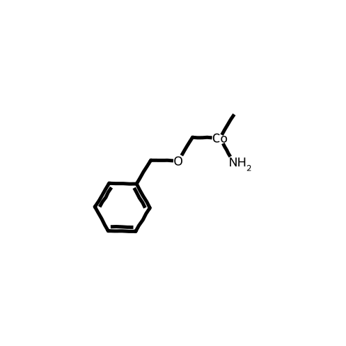 [CH3][Co]([NH2])[CH2]OCc1ccccc1